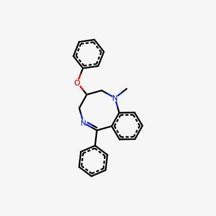 CN1CC(Oc2ccccc2)CN=C(c2ccccc2)c2ccccc21